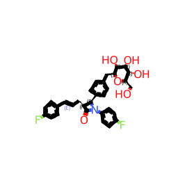 O=C1[C@H](C/C=C/c2ccc(F)cc2)[C@@H](c2ccc(C[C@@H]3O[C@H](CO)[C@@H](O)[C@H](O)[C@@H]3O)cc2)N1c1ccc(F)cc1